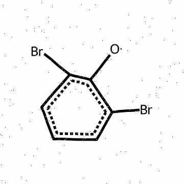 [O]c1c(Br)cccc1Br